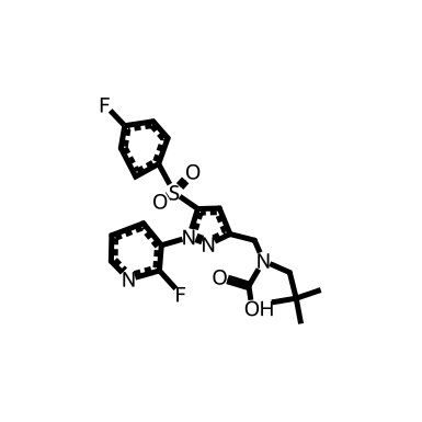 CC(C)(C)CN(Cc1cc(S(=O)(=O)c2ccc(F)cc2)n(-c2cccnc2F)n1)C(=O)O